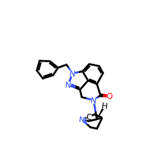 O=C1c2cccc3c2c(nn3Cc2ccccc2)CN1[C@H]1CN2CCC1CC2